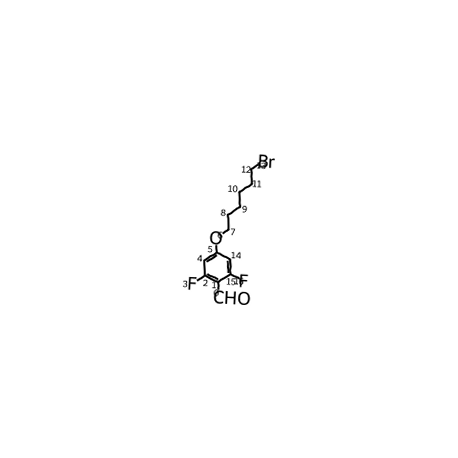 O=Cc1c(F)cc(OCCCCCCBr)cc1F